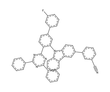 N#Cc1cccc(-c2ccc3c(c2)c2ccccc2n3-c2cc(-c3cccc(F)c3)ccc2-c2nc(-c3ccccc3)nc(-c3ccccc3)n2)c1